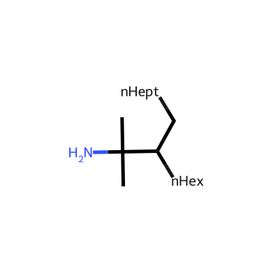 CCCCCCCCC(CCCCCC)C(C)(C)N